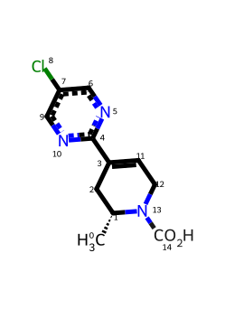 C[C@@H]1CC(c2ncc(Cl)cn2)=CCN1C(=O)O